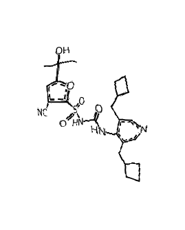 CC(C)(O)c1cc(C#N)c(S(=O)(=O)NC(=O)Nc2c(CC3CCC3)cncc2CC2CCC2)o1